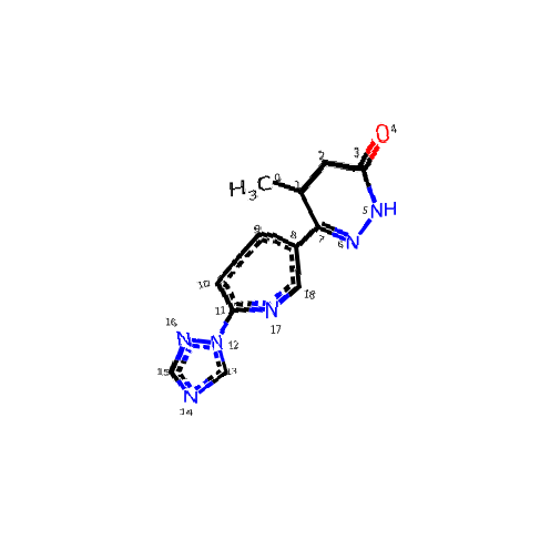 CC1CC(=O)NN=C1c1ccc(-n2cncn2)nc1